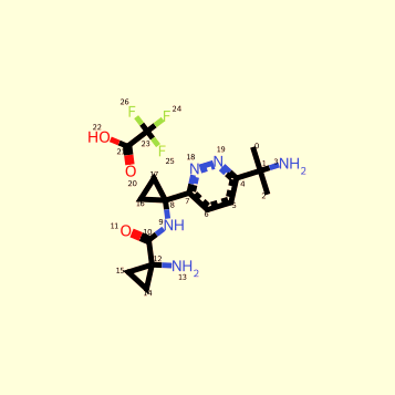 CC(C)(N)c1ccc(C2(NC(=O)C3(N)CC3)CC2)nn1.O=C(O)C(F)(F)F